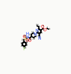 CCOC(=O)c1cc(C#N)c(N2CCC(C(=O)NS(=O)(=O)Cc3ccc(F)cc3)CC2)nc1CC